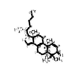 CC(C)CCC[C@@H](C)[C@H]1CC=C2C3=C(CC[C@@]21C)[C@@]1(C)C=CC(=O)C(C)(C)[C@@H]1CC3